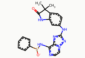 CC1(C)C(=O)Nc2cc(Nc3nc4c(N[S+]([O-])c5ccccc5)nccn4n3)ccc21